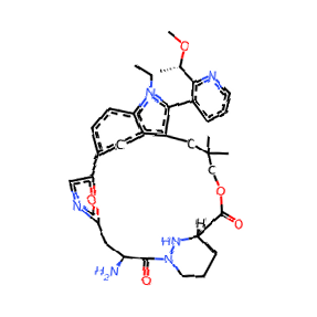 CCn1c(-c2cccnc2[C@H](C)OC)c2c3cc(ccc31)-c1cnc(o1)C[C@H](N)C(=O)N1CCC[C@H](N1)C(=O)OCC(C)(C)C2